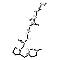 C[15N]1CC[15N](CC2CCC[15N]2C[13C](=O)N[13CH2][13CH2][13CH2][13C](=O)[15NH][13CH2][13CH2][13CH2][13C](=O)O)[13CH2][13CH2]1